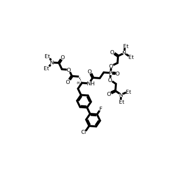 CCN(CC)C(=O)COC(=O)C[C@@H](Cc1ccc(-c2cc(Cl)ccc2F)cc1)NC(=O)CCP(=O)(OCC(=O)N(CC)CC)OCC(=O)N(CC)CC